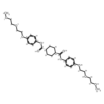 COCCOCCOc1ccc(OC(=O)[C@H]2CC[C@H](C(=O)Oc3ccc(OCCOCCOC)cc3)CC2)cc1